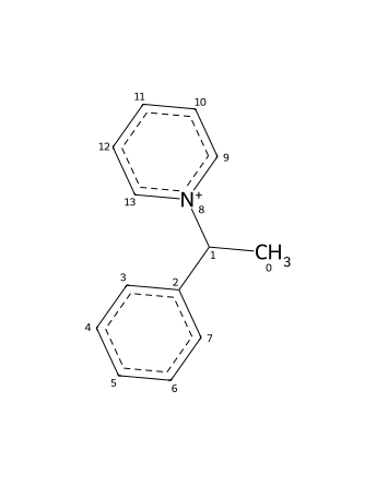 CC(c1ccccc1)[n+]1ccccc1